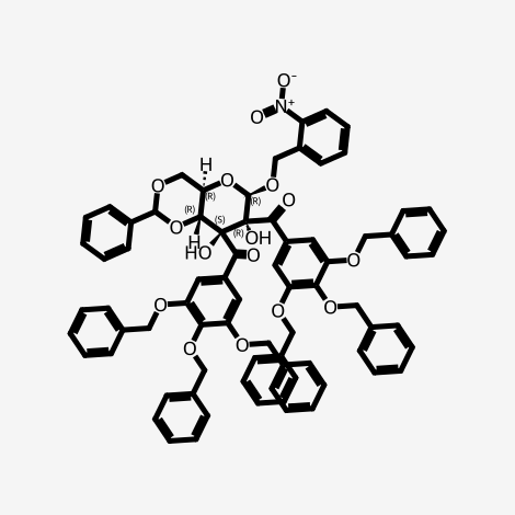 O=C(c1cc(OCc2ccccc2)c(OCc2ccccc2)c(OCc2ccccc2)c1)[C@]1(O)[C@H](OCc2ccccc2[N+](=O)[O-])O[C@@H]2COC(c3ccccc3)O[C@H]2[C@@]1(O)C(=O)c1cc(OCc2ccccc2)c(OCc2ccccc2)c(OCc2ccccc2)c1